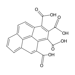 O=C(O)c1c(C(=O)O)c2ccc3cccc4cc(C(=O)O)c(c1C(=O)O)c2c34